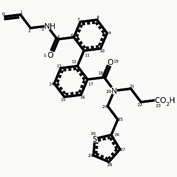 C=CCNC(=O)c1ccccc1-c1ccccc1C(=O)N(CCC(=O)O)CCc1cccs1